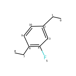 CCc1[c]c(F)c(CC)cc1